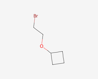 BrCCOC1CCC1